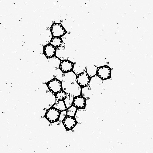 c1ccc(-c2nc(-c3ccc(-c4cccc5c4oc4ccccc45)cc3)nc(-c3ccc4c(c3)C3(c5ccccc5-4)c4ccccc4-n4c3nc3ccccc34)n2)cc1